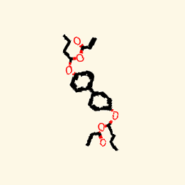 C=CC(=O)OC(CCC)Oc1ccc(-c2ccc(OC(CCC)OC(=O)C=C)cc2)cc1